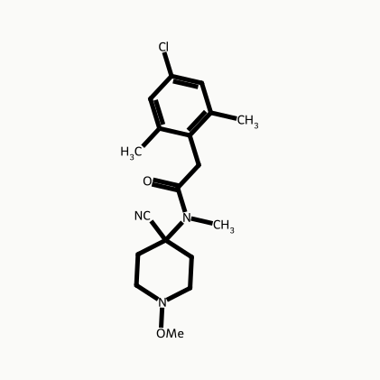 CON1CCC(C#N)(N(C)C(=O)Cc2c(C)cc(Cl)cc2C)CC1